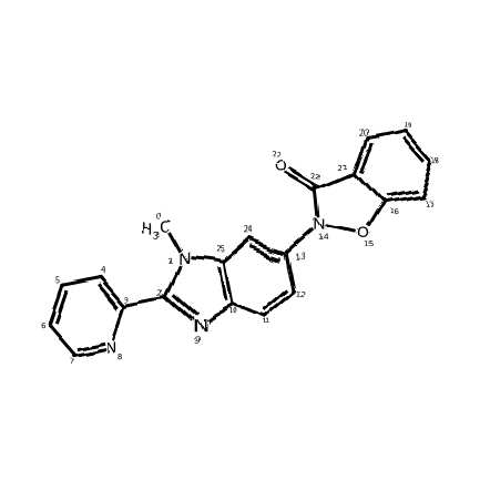 Cn1c(-c2ccccn2)nc2ccc(-n3oc4ccccc4c3=O)cc21